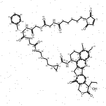 CC[C@@]1(O)C(=O)OCc2c1cc1n(c2=O)Cc2c-1nc1cc(F)c(C)c3c1c2[C@@H](NC(=O)[C@@H]1CN1CCOCNC(=O)CNC(=O)[C@H](Cc1ccccc1)NC(=O)COC(=O)CNC(=O)CCCCCN1C(=O)C=CC1=O)CC3